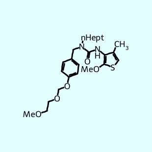 CCCCCCCN(Cc1ccc(OCOCCOC)cc1)C(=O)Nc1c(C)csc1OC